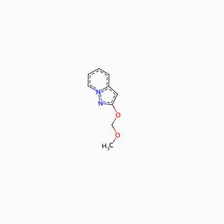 COCOc1cc2ccccn2n1